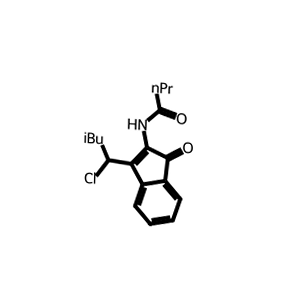 CCCC(=O)NC1=C(C(Cl)C(C)CC)c2ccccc2C1=O